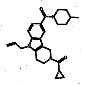 C=CCn1c2c(c3cc(C(=O)N4CCC(C)CC4)ccc31)CN(C(=O)C1CC1)CC2